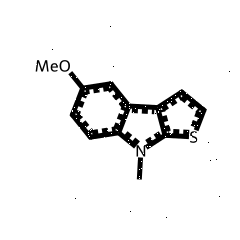 COc1ccc2c(c1)c1ccsc1n2C